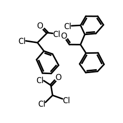 O=C(Cl)C(Cl)Cl.O=C(Cl)C(Cl)c1ccccc1.O=CC(c1ccccc1)c1ccccc1Cl